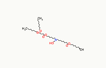 C#CCCCCCCOC(=O)CCCCCCCN(CCO)CCCCCCOC(=O)CCC(OCCCCCCCC)OCCCCCCCC